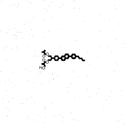 C=C(C)C(=O)OCCC(CCOC(=O)C(=C)CO)C1CCC(c2ccc3cc(-c4ccc(CCCCC)cc4)ccc3c2)CC1